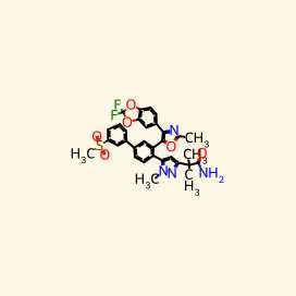 Cc1nc(-c2ccc3c(c2)OC(F)(F)O3)c(-c2cc(-c3cccc(S(C)(=O)=O)c3)ccc2-c2cc(C(C)(C)C(N)=O)nn2C)o1